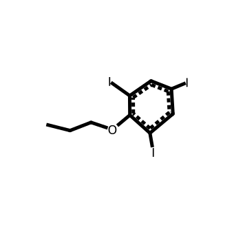 CCCOc1c(I)cc(I)cc1I